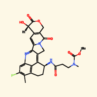 CC[C@@]1(O)C(=O)OCc2c1cc1n(c2=O)Cc2c-1nc1cc(F)c(C)c3c1c2[C@@H](NC(=O)CCN(C)C(=O)OC(C)(C)C)CC3